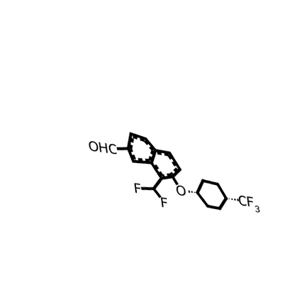 O=Cc1ccc2ccc(O[C@H]3CC[C@@H](C(F)(F)F)CC3)c(C(F)F)c2c1